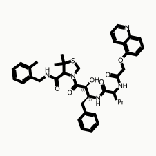 Cc1ccccc1CNC(=O)C1N(C(=O)[C@@H](O)[C@H](Cc2ccccc2)NC(=O)C(NC(=O)COc2cccc3ncccc23)C(C)C)CSC1(C)C